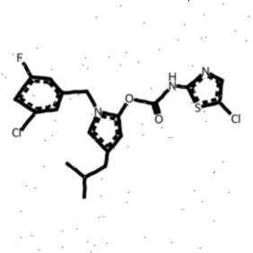 CC(C)Cc1cc(OC(=O)Nc2ncc(Cl)s2)n(Cc2cc(F)cc(Cl)c2)c1